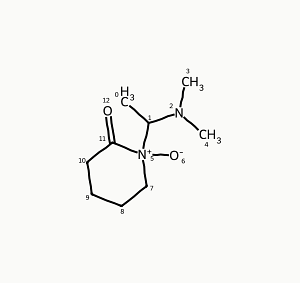 CC(N(C)C)[N+]1([O-])CCCCC1=O